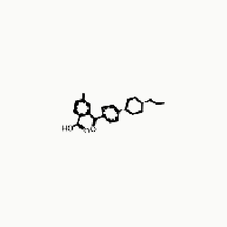 CCC[C@H]1CC[C@H](c2ccc(C(=O)c3cc(C)ccc3C(=O)O)cc2)CC1